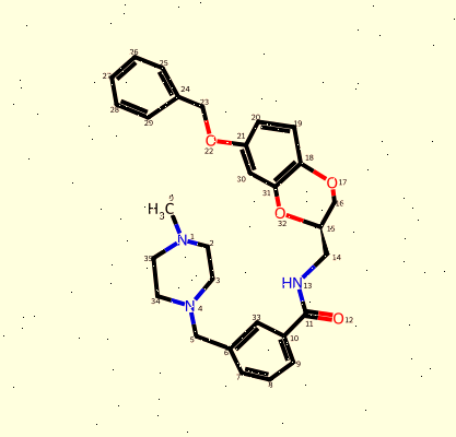 CN1CCN(Cc2cccc(C(=O)NC[C@@H]3COc4ccc(OCc5ccccc5)cc4O3)c2)CC1